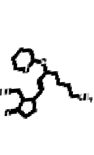 CCCCCC(C=CC1CCC(=O)C1CO)OC1CCCCO1